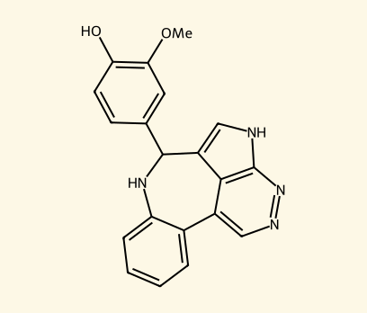 COc1cc(C2Nc3ccccc3-c3cnnc4[nH]cc2c34)ccc1O